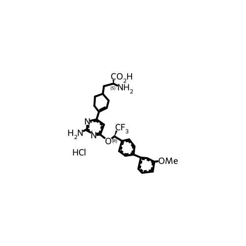 COc1cccc(-c2ccc([C@@H](Oc3cc(C4=CCC(C[C@H](N)C(=O)O)CC4)nc(N)n3)C(F)(F)F)cc2)c1.Cl